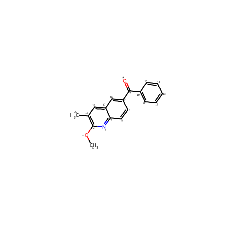 COc1nc2ccc(C(=O)c3ccccc3)cc2cc1C